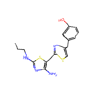 CCCNc1nc(N)c(-c2nc(-c3cccc(O)c3)cs2)s1